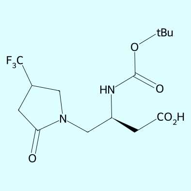 CC(C)(C)OC(=O)N[C@@H](CC(=O)O)CN1CC(C(F)(F)F)CC1=O